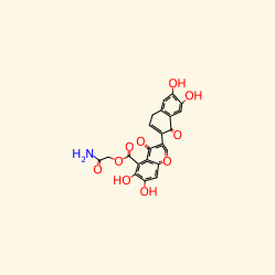 NC(=O)COC(=O)c1c(O)c(O)cc2occ(C3=CCc4cc(O)c(O)cc4C3=O)c(=O)c12